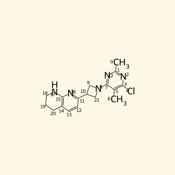 Cc1nc(Cl)c(C)c(N2CC(c3ccc4c(n3)NCCC4)C2)n1